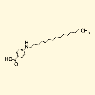 CCCCCCCCCCC=CCCCNc1ccc(C(=O)O)cc1